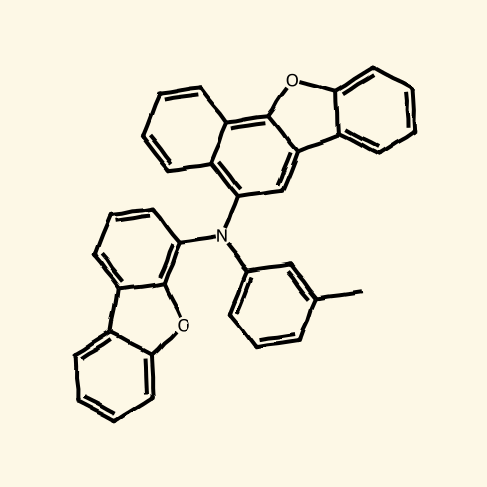 Cc1cccc(N(c2cc3c4ccccc4oc3c3ccccc23)c2cccc3c2oc2ccccc23)c1